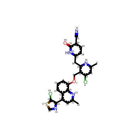 Cc1cc(Cl)c(COc2cccc3c(-c4ncsc4Cl)cc(C)nc23)c(Cc2ccc(C#N)c(=O)[nH]2)n1